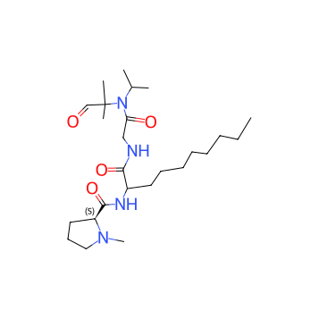 CCCCCCCCC(NC(=O)[C@@H]1CCCN1C)C(=O)NCC(=O)N(C(C)C)C(C)(C)C=O